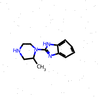 CC1CNCCN1c1nc2ccccc2[nH]1